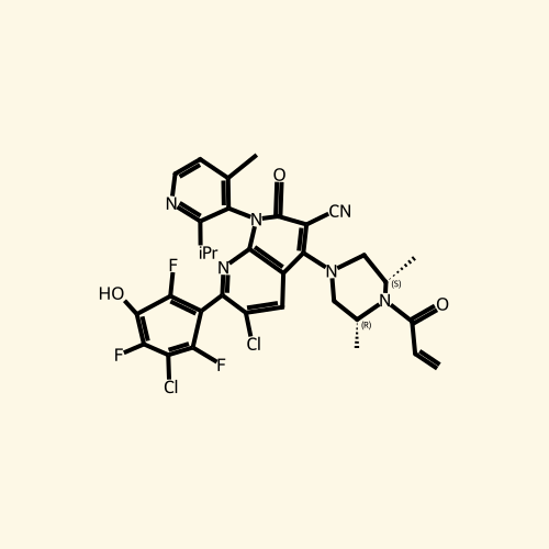 C=CC(=O)N1[C@H](C)CN(c2c(C#N)c(=O)n(-c3c(C)ccnc3C(C)C)c3nc(-c4c(F)c(O)c(F)c(Cl)c4F)c(Cl)cc23)C[C@@H]1C